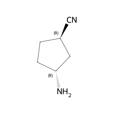 N#C[C@@H]1CC[C@@H](N)C1